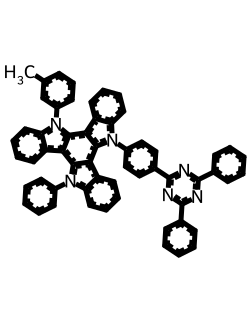 Cc1cccc(-n2c3ccccc3c3c4c(c5ccccc5n4-c4ccccc4)c4c(c5ccccc5n4-c4ccc(-c5nc(-c6ccccc6)nc(-c6ccccc6)n5)cc4)c32)c1